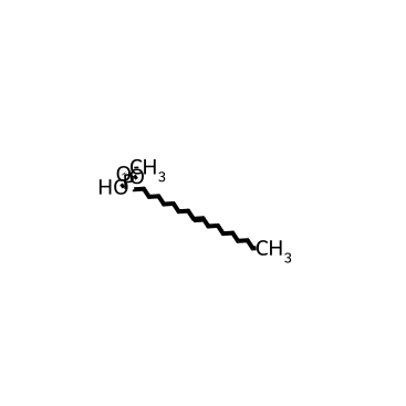 CCCCCCCCC=CCCCCCCCCP(=O)(O)OC